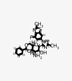 Cc1nc([C@@H]2O[C@@H]3COC(c4ccccc4)O[C@@H]3[C@H](N)[C@H]2O)n(-c2cc(F)c3nc(C)sc3c2)n1